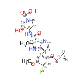 COc1cc(-c2ccnc3c(C(=O)N[C@@H]4CCN(C(=O)O)C[C@H]4O)c(C)[nH]c23)c(OCC2CC2)cc1F